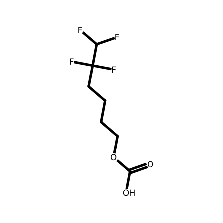 O=C(O)OCCCCC(F)(F)C(F)F